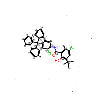 Cc1c(Cl)cc(C(C)(C)C)c(O)c1C(=O)Nc1ccc(C(c2ccccc2)(c2ccccc2)c2ccccc2)cc1Cl